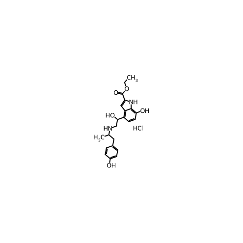 CCOC(=O)c1cc2c(C(O)CNC(C)Cc3ccc(O)cc3)ccc(O)c2[nH]1.Cl